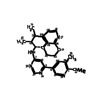 COc1ncc(-c2cc(NCC(C)C(C)c3ccnc4c3OCCO4)ncn2)cc1C